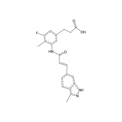 Cc1c(F)cc(CCC(=O)O)cc1NC(=O)/C=C/c1ccc2c(C)n[nH]c2c1